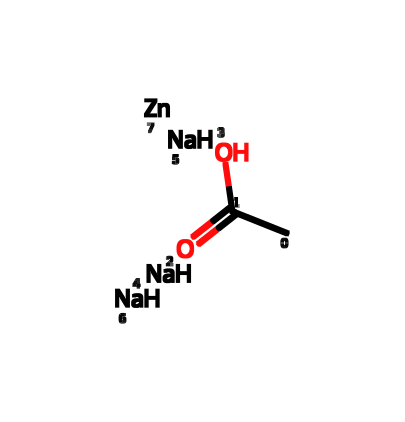 CC(=O)O.[NaH].[NaH].[NaH].[Zn]